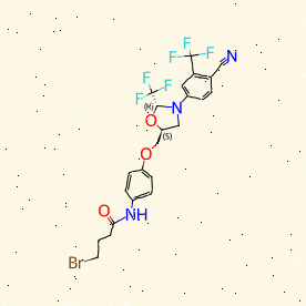 N#Cc1ccc(N2C[C@@H](COc3ccc(NC(=O)CCCBr)cc3)O[C@@H]2C(F)(F)F)cc1C(F)(F)F